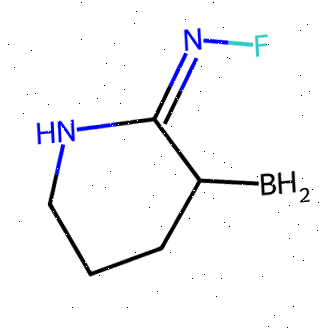 BC1CCCN/C1=N/F